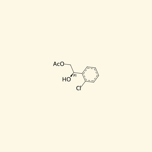 CC(=O)OC[C@H](O)c1ccccc1Cl